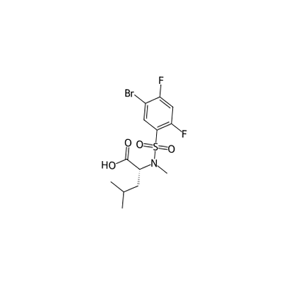 CC(C)C[C@H](C(=O)O)N(C)S(=O)(=O)c1cc(Br)c(F)cc1F